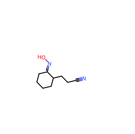 N#CCCC1CCCC/C1=N\O